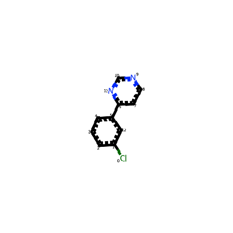 Clc1cccc(-c2ccncn2)c1